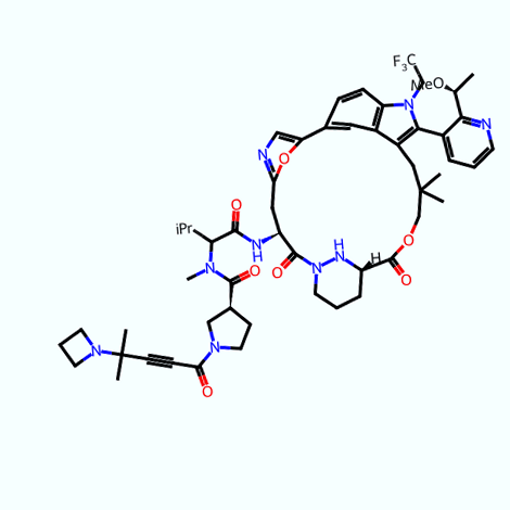 CO[C@@H](C)c1ncccc1-c1c2c3cc(ccc3n1CC(F)(F)F)-c1cnc(o1)C[C@H](NC(=O)C(C(C)C)N(C)C(=O)[C@H]1CCN(C(=O)C#CC(C)(C)N3CCC3)C1)C(=O)N1CCC[C@H](N1)C(=O)OCC(C)(C)C2